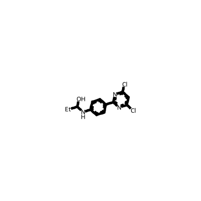 CCC(O)Nc1ccc(-c2nc(Cl)cc(Cl)n2)cc1